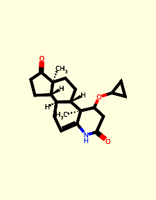 C[C@]12CC[C@H]3[C@@H](CC=C4NC(=O)CC(OC5CC5)[C@@]43C)[C@@H]1CCC2=O